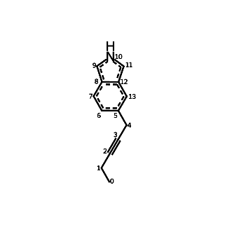 CCC#CCc1ccc2c[nH]cc2c1